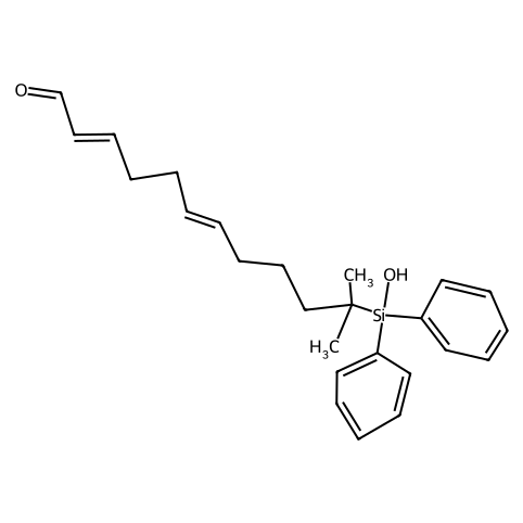 CC(C)(CCC/C=C/CC/C=C/C=O)[Si](O)(c1ccccc1)c1ccccc1